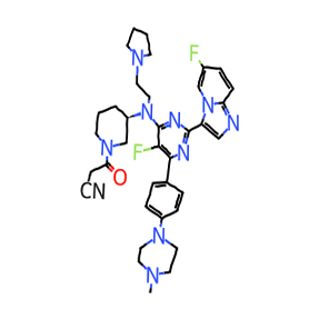 CN1CCN(c2ccc(-c3nc(-c4cnc5ccc(F)cn45)nc(N(CCN4CCCC4)[C@@H]4CCCN(C(=O)CC#N)C4)c3F)cc2)CC1